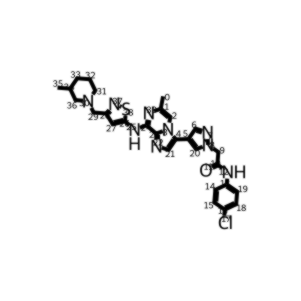 Cc1cn2c(-c3cnn(CC(=O)Nc4ccc(Cl)cc4)c3)cnc2c(Nc2cc(CN3CCCC(C)C3)ns2)n1